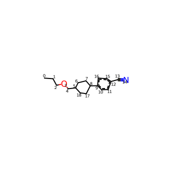 CCCOCC1CCC(c2ccc(C#N)cc2)CC1